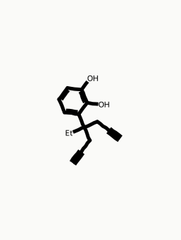 C#CCC(CC)(CC#C)c1cccc(O)c1O